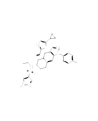 CCN([C@H]1CCC2=Cc3c(cnn3-c3ccc(F)cc3)C[C@]2(C(=O)c2ncc(C3CC3)s2)C1)S(=O)(=O)c1cnn(C)c1